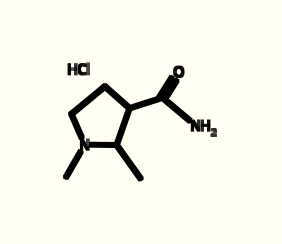 CC1C(C(N)=O)CCN1C.Cl